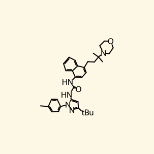 Cc1ccc(-n2nc(C(C)(C)C)cc2NC(=O)Nc2ccc(CCC(C)(C)N3CCOCC3)c3ccccc23)cc1